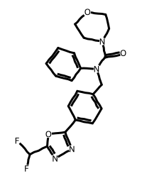 O=C(N1CCOCC1)N(Cc1ccc(-c2nnc(C(F)F)o2)cc1)c1ccccc1